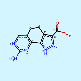 Nc1ncc2c(n1)-c1[nH]nc(C(=O)O)c1CC2